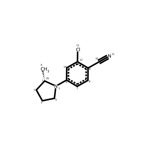 C[C@H]1CCCN1c1ccc(C#N)c(Cl)c1